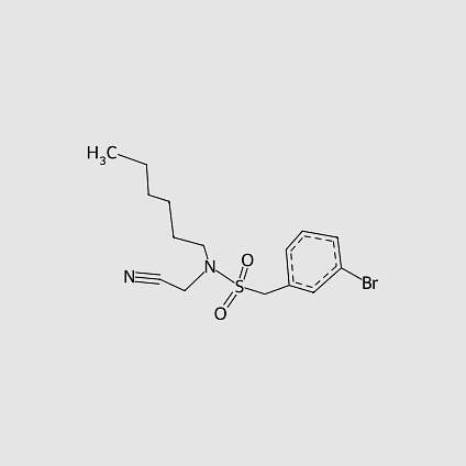 CCCCCCN(CC#N)S(=O)(=O)Cc1cccc(Br)c1